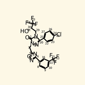 O=c1n(Cc2nc(-c3cccc(C(F)(F)F)c3)no2)nc(-c2ccc(Cl)cc2)n1C[C@H](O)C(F)(F)F